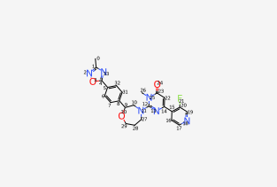 Cc1noc(-c2ccc(C3CN(c4nc(-c5ccncc5F)cc(=O)n4C)CCCO3)cc2)n1